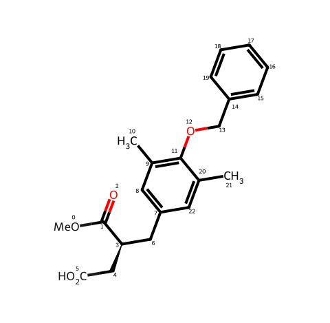 COC(=O)[C@H](CC(=O)O)Cc1cc(C)c(OCc2ccccc2)c(C)c1